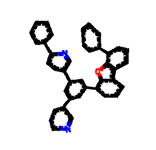 c1ccc(-c2ccc(-c3cc(-c4cccnc4)cc(-c4cccc5c4oc4c(-c6ccccc6)cccc45)c3)cn2)cc1